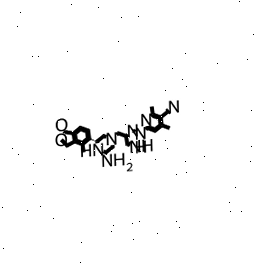 Cc1cc(N/N=C(\C=N)CN2C[C@@H](c3ccc4c(c3C)COC4=O)N[C@@H](N)C2)nc(C)c1C#N